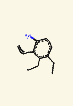 C=Cc1c(N)ccc(CC)c1CC